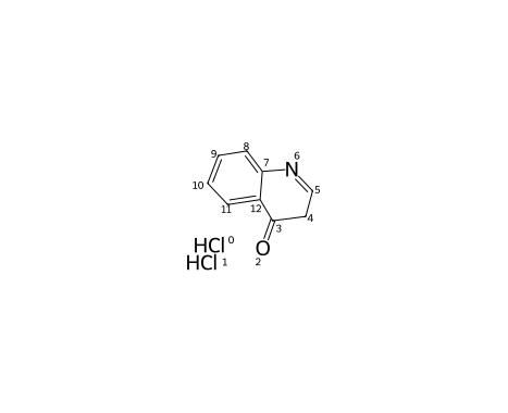 Cl.Cl.O=C1CC=Nc2ccccc21